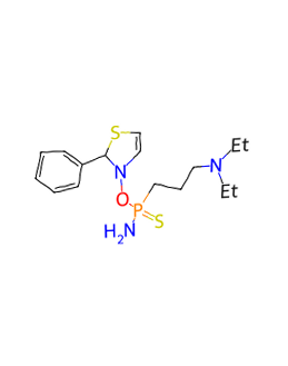 CCN(CC)CCCP(N)(=S)ON1C=CSC1c1ccccc1